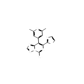 Cc1cc(-c2c(-c3ncco3)nc(N)n3ncnc23)cc(C)n1